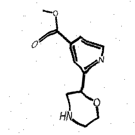 COC(=O)c1ccnc(C2CNCCO2)c1